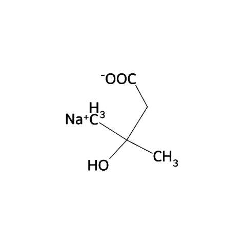 CC(C)(O)CC(=O)[O-].[Na+]